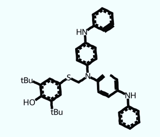 C=C(/C=C\C(=C/C)Nc1ccccc1)N(CSc1cc(C(C)(C)C)c(O)c(C(C)(C)C)c1)c1ccc(Nc2c#cccc2)cc1